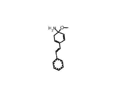 COC1(N)C=CC(C=Cc2ccccc2)=CC1